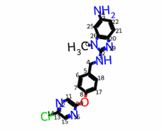 Cn1c(NCc2ccc(Oc3cnc(Cl)cn3)cc2)nc2ccc(N)cc21